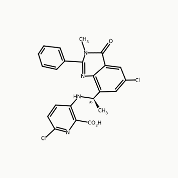 C[C@@H](Nc1ccc(Cl)nc1C(=O)O)c1cc(Cl)cc2c(=O)n(C)c(-c3ccccc3)nc12